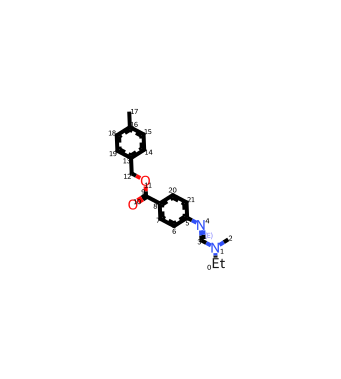 CCN(C)/C=N/c1ccc(C(=O)OCc2ccc(C)cc2)cc1